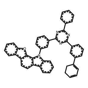 C1=CCCC(c2cccc(-c3nc(-c4ccccc4)nc(-c4cccc(-n5c6ccccc6c6ccc7c8ccccc8oc7c65)c4)n3)c2)=C1